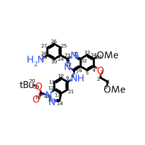 COCCOc1cc2c(Nc3ccc4c(cnn4C(=O)OC(C)(C)C)c3)nc(-c3cccc(N)c3)nc2cc1OC